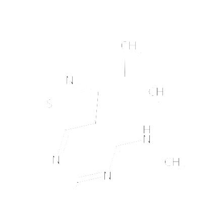 CNc1ncnc2snc(C(C)C)c12